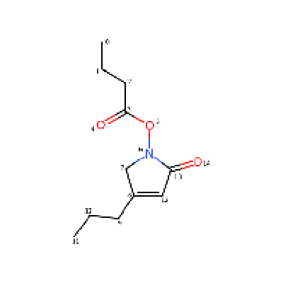 CCCC(=O)ON1CC(CCC)=CC1=O